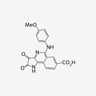 COc1ccc(Nc2nc3c(c4ccc(C(=O)O)cc24)NC(=O)C3=O)cc1